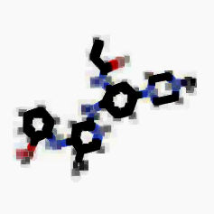 C=CC(=O)Nc1cc(N2CCN(CC)CC2)ccc1Nc1cc(Nc2ccccc2O)c(C#N)cn1